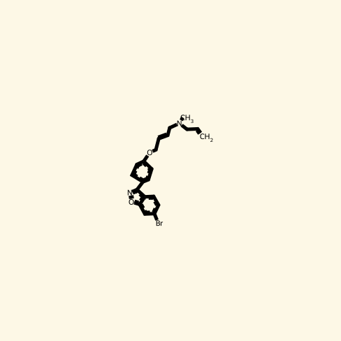 C=CCN(C)CC=CCOc1ccc(-c2noc3cc(Br)ccc23)cc1